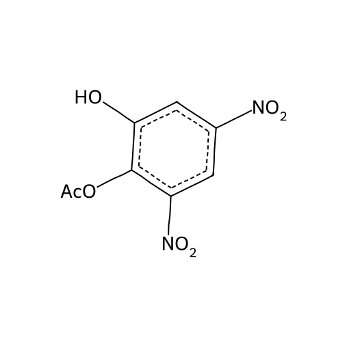 CC(=O)Oc1c(O)cc([N+](=O)[O-])cc1[N+](=O)[O-]